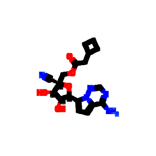 N#C[C@]1(COC(=O)CC2CCC2)O[C@@H](c2ccc3c(N)ncnn23)[C@H](O)[C@@H]1O